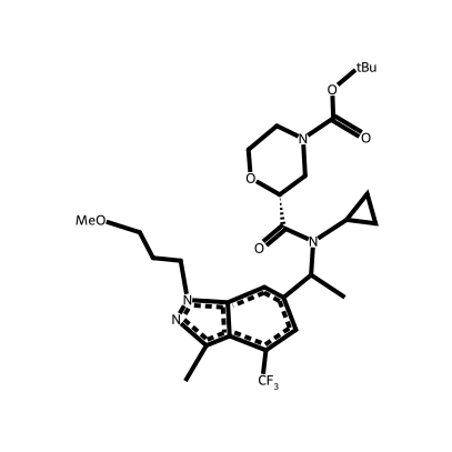 COCCCn1nc(C)c2c(C(F)(F)F)cc(C(C)N(C(=O)[C@H]3CN(C(=O)OC(C)(C)C)CCO3)C3CC3)cc21